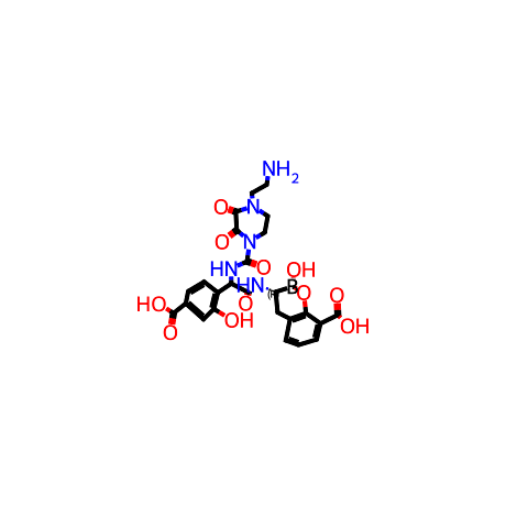 NCCN1CCN(C(=O)NC(C(=O)N[C@H]2Cc3cccc(C(=O)O)c3OB2O)c2ccc(C(=O)O)cc2O)C(=O)C1=O